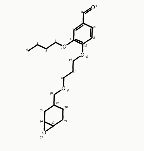 CCCCOc1cc(C=O)ccc1OCCCOCC1CCC2OC2C1